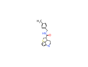 Cc1ccc(CNC(=O)C2CSC34CC=CC=C3N=CCC24)cc1